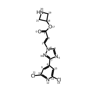 O=C(C=Cn1cnc(-c2cc(Cl)nc(Cl)c2)n1)OC1CNC1